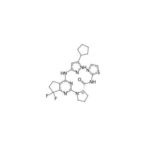 O=C(Nc1nccs1)[C@@H]1CCCN1c1nc(Nc2cc(C3CCCC3)[nH]n2)c2c(n1)C(F)(F)CC2